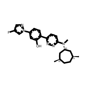 C[C@@H]1CC[C@H](C)C[C@@H](N(C)c2ccc(-c3ccc(-n4cc(F)cn4)cc3O)nn2)C1